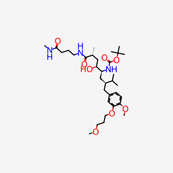 CNC(=O)CCCNC(=O)[C@H](C)C[C@H](O)[C@H](C[C@H](Cc1ccc(OC)c(OCCCOC)c1)C(C)C)NC(=O)OC(C)(C)C